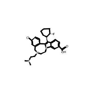 CN(C)CCN1CCn2c(c([C@H]3CCCC[C@@H]3F)c3ccc(C(=O)O)cc32)-c2ccc(Cl)cc2C1